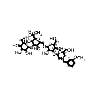 COc1cccc(CN2CC(CO)OC(OC3C(O)C(CO)OC(OCC4OC(C(C)C)C(O)C(OC5OC(CO)C(O)C(O)C5O)C4O)C3O)C2)c1